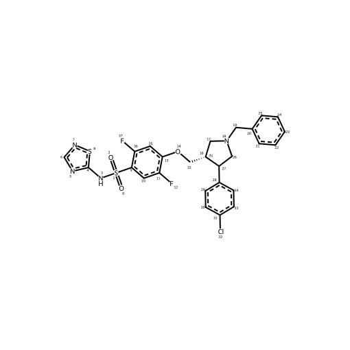 O=S(=O)(Nc1ncns1)c1cc(F)c(OC[C@@H]2CN(Cc3ccccc3)CC2c2ccc(Cl)cc2)cc1F